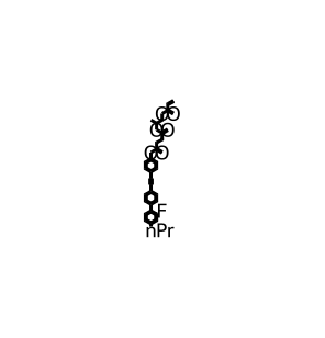 C=CC(=O)OCC(C)OC(=O)CCC(=O)Oc1ccc(C#Cc2ccc(-c3ccc(CCC)cc3F)cc2)cc1